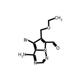 CCOCc1c(Br)c2c(N)ncnn2c1C=O